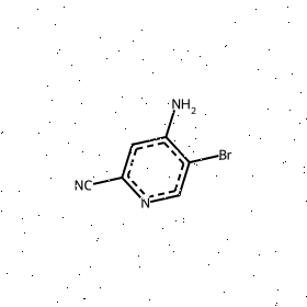 N#Cc1cc(N)c(Br)cn1